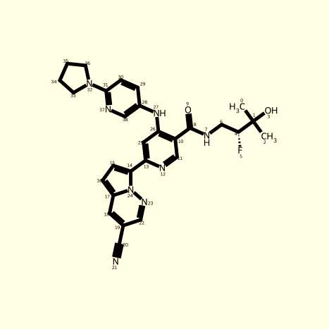 CC(C)(O)[C@H](F)CNC(=O)c1cnc(-c2ccc3cc(C#N)cnn23)cc1Nc1ccc(N2CCCC2)nc1